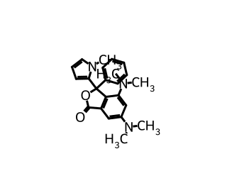 CN(C)c1cc2c(c(N(C)C)c1)C(c1ccccc1)(c1cccn1C)OC2=O